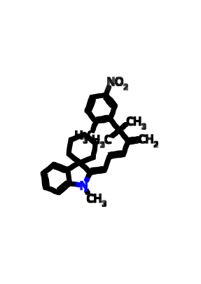 C=C(/C=C/C=C1/N(C)c2ccccc2C12CCCCC2)C(C)(C)c1cc([N+](=O)[O-])ccc1C